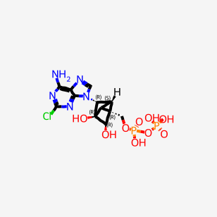 Nc1nc(Cl)nc2c1ncn2[C@@H]1[C@H]2C3[C@]1(O)[C@H](O)[C@@]32COP(=O)(O)OP(=O)(O)O